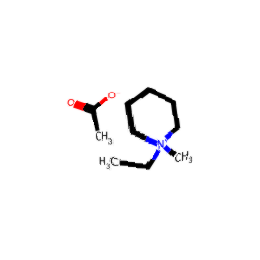 CC(=O)[O-].CC[N+]1(C)CCCCC1